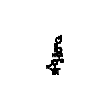 Cc1nn(C)c(C)c1-c1cc(C(=O)c2nc3ccc(OC4CCN(C)CC4)nc3[nH]2)ccc1C#N